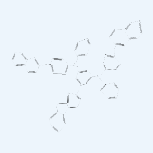 c1ccc(N(c2ccc(-c3ccc4ccccc4c3)cc2)c2cc(-c3ccc4c(c3)sc3ccccc34)cc(N(c3ccccc3)c3ccc(-c4ccc5ccccc5c4)cc3)c2)cc1